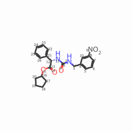 O=C(NCc1cccc([N+](=O)[O-])c1)N[C@H](C(=O)OC1CCCC1)c1ccccc1